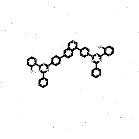 Cc1ccccc1-c1nc(-c2ccccc2)nc(-c2ccc(-c3ccc4c(-c5ccc(-c6nc(-c7ccccc7)nc(-c7ccccc7C)n6)cc5)cccc4c3)cc2)n1